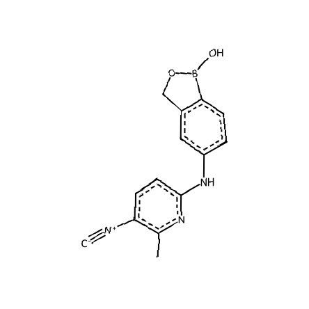 [C-]#[N+]c1ccc(Nc2ccc3c(c2)COB3O)nc1C